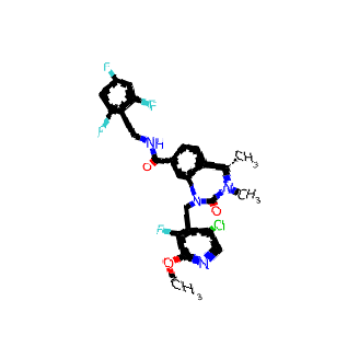 COc1ncc(Cl)c(CN2C(=O)N(C)[C@@H](C)c3ccc(C(=O)NCc4c(F)cc(F)cc4F)cc32)c1F